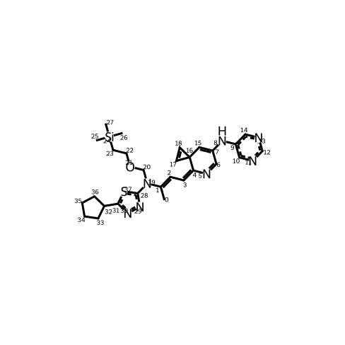 C/C(=C\C=C1\N=CC(Nc2cncnc2)=CC12C=C2)N(COCC[Si](C)(C)C)c1nnc(C2CCCC2)s1